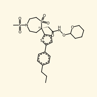 CCCc1ccc(-c2ccc([C@@]3(CC(=O)NOC4CCCCO4)CCN(S(C)(=O)=O)CCS3(=O)=O)s2)cc1